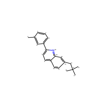 Cc1cccc(-c2ccc3ccc(CC(C)(C)C)cc3n2)c1